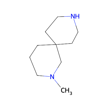 CN1CCCC2(CCNCC2)C1